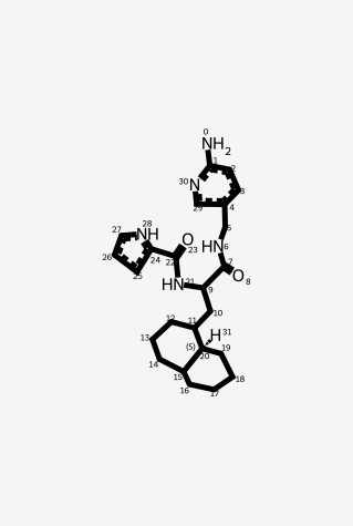 Nc1ccc(CNC(=O)C(CC2CCCC3CCCC[C@@H]32)NC(=O)c2ccc[nH]2)cn1